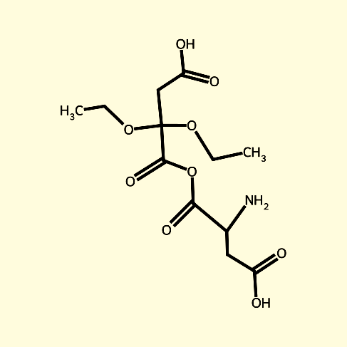 CCOC(CC(=O)O)(OCC)C(=O)OC(=O)C(N)CC(=O)O